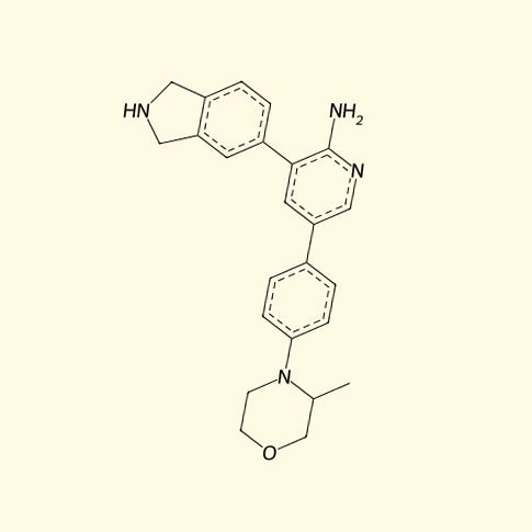 CC1COCCN1c1ccc(-c2cnc(N)c(-c3ccc4c(c3)CNC4)c2)cc1